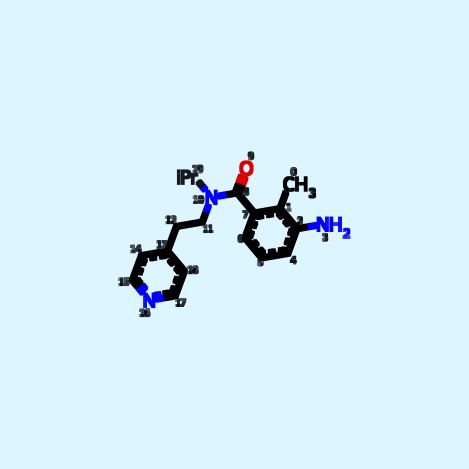 Cc1c(N)cccc1C(=O)N(CCc1ccncc1)C(C)C